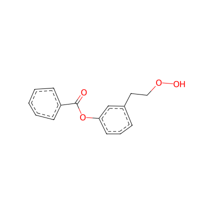 O=C(Oc1cccc(CCOO)c1)c1ccccc1